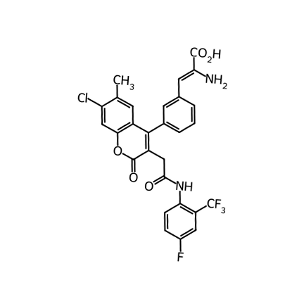 Cc1cc2c(-c3cccc(/C=C(\N)C(=O)O)c3)c(CC(=O)Nc3ccc(F)cc3C(F)(F)F)c(=O)oc2cc1Cl